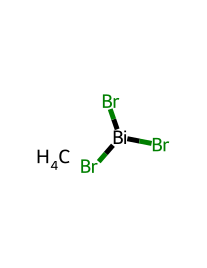 C.[Br][Bi]([Br])[Br]